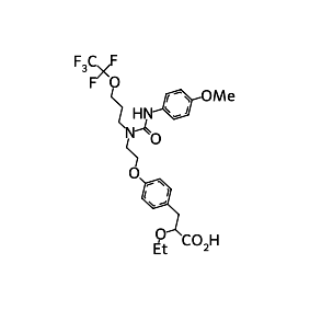 CCOC(Cc1ccc(OCCN(CCCOC(F)(F)C(F)(F)F)C(=O)Nc2ccc(OC)cc2)cc1)C(=O)O